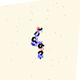 C=C(F)C(=O)N1CCN(c2ccc3ncnc(Nc4ccc(Oc5ccn6ncnc6c5)c(C)c4)c3n2)CC1